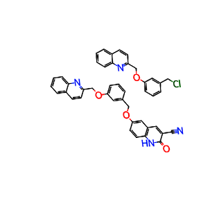 ClCc1cccc(OCc2ccc3ccccc3n2)c1.N#Cc1cc2cc(OCc3cccc(OCc4ccc5ccccc5n4)c3)ccc2[nH]c1=O